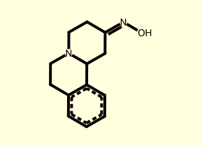 ON=C1CCN2CCc3ccccc3C2C1